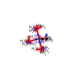 CC(=O)NC1C(OCCOCCNC(=O)CCC(CCC(=O)NCCOCCOC2OC(COC(C)=O)C(OC(C)=O)C(OC(C)=O)C2NC(C)=O)(CCC(=O)NCCOCCOC2OC(COC(C)=O)C(OC(C)=O)C(OC(C)=O)C2NC(C)=O)NC(=O)c2ccc(OP(OCCC#N)N(C(C)C)C(C)C)cc2)OC(COC(C)=O)C(OC(C)=O)C1OC(C)=O